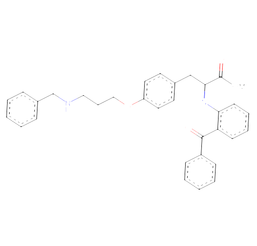 COC(=O)C(Cc1ccc(OCCCNCc2ccccc2)cc1)Nc1ccccc1C(=O)c1ccccc1